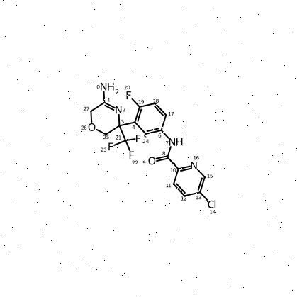 NC1=NC(c2cc(NC(=O)c3ccc(Cl)cn3)ccc2F)(C(F)(F)F)COC1